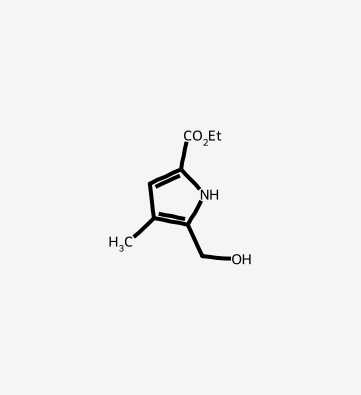 CCOC(=O)c1cc(C)c(CO)[nH]1